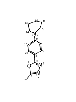 Cc1nnc(-c2ccc(N3C[CH]CCC3)cc2)o1